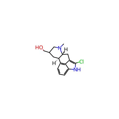 CN1CC(CO)C[C@@H]2c3cccc4[nH]c(Cl)c(c34)C[C@H]21